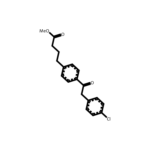 COC(=O)CCCc1ccc(C(=O)Cc2ccc(Cl)cc2)cc1